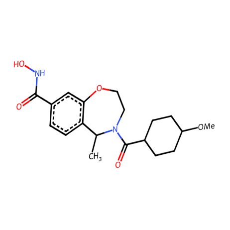 COC1CCC(C(=O)N2CCOc3cc(C(=O)NO)ccc3C2C)CC1